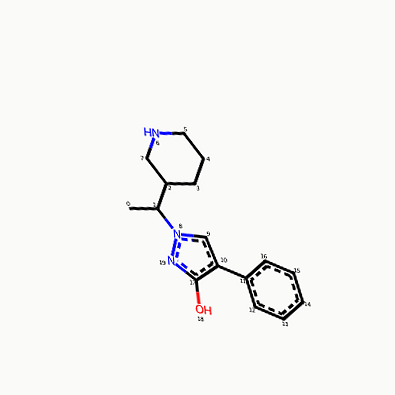 CC(C1CCCNC1)n1cc(-c2ccccc2)c(O)n1